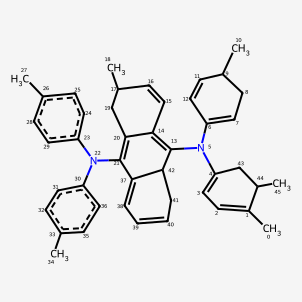 CC1=CC=C(N(C2=CCC(C)C=C2)C2=C3C=CC(C)CC3=C(N(c3ccc(C)cc3)c3ccc(C)cc3)C3=CC=CCC32)CC1C